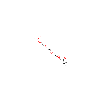 CC(=O)OCCOCCOCCOCC(=O)C(C)(C)C